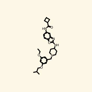 CCOc1cc(CN2CCC(Nc3nc4cc(NC(=O)C5CCC5)ccc4o3)CC2)cc(OCC(C)C)c1